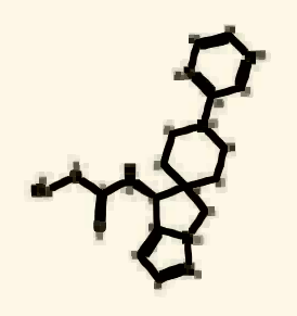 CC(C)(C)OC(=O)N[C@@H]1c2ccnn2CC12CCN(c1cnccn1)CC2